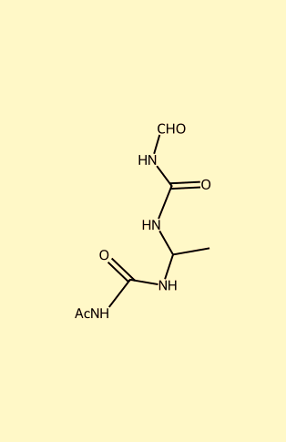 CC(=O)NC(=O)NC(C)NC(=O)NC=O